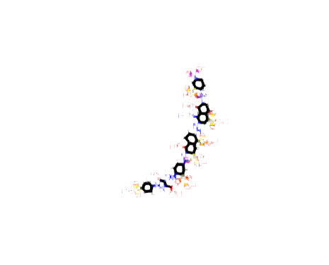 Nc1c(N=Nc2ccc3c(O)c(N=Nc4ccc(N=Nc5c(C(=O)O)nn(-c6ccc(S(=O)(=O)O)cc6)c5O)c(S(=O)(=O)O)c4)c(S(=O)(=O)O)cc3c2S(=O)(=O)O)cc(S(=O)(=O)O)c2ccc(N=Nc3ccc([N+](=O)[O-])cc3S(=O)(=O)O)c(O)c12